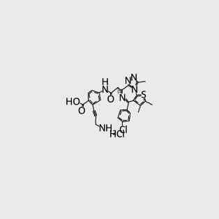 Cc1sc2c(c1C)C(c1ccc(Cl)cc1)=N[C@@H](CC(=O)Nc1ccc(C(=O)O)c(C#CCN)c1)c1nnc(C)n1-2.Cl